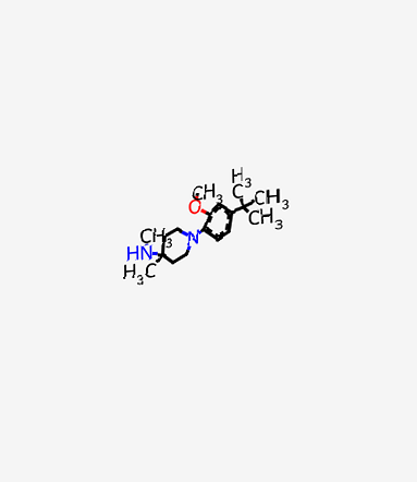 CNC1(C)CCN(c2ccc(C(C)(C)C)cc2OC)CC1